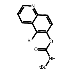 CC(C)(C)NC(=O)Oc1ccc2ncccc2c1Br